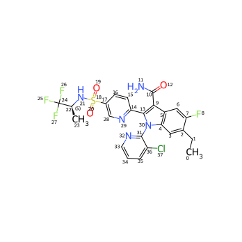 CCc1cc2c(cc1F)c(C(N)=O)c(-c1ccc(S(=O)(=O)N[C@@H](C)C(F)(F)F)cn1)n2-c1ncccc1Cl